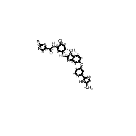 Cc1cnc(-c2cc(Oc3ccc4c(c3)nc(Nc3ccc(Cl)c(NC(=O)c5cnc(F)s5)c3)n4C)ccn2)[nH]1